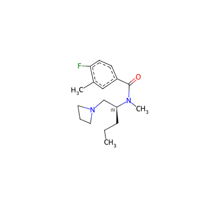 CCC[C@@H](CN1CCC1)N(C)C(=O)c1ccc(F)c(C)c1